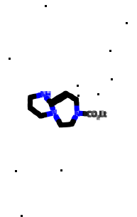 CCOC(=O)N1CC=C2NCCCN2CC1